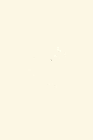 CC1=CC(c2ccccc2OCc2ccccc2)C(C(=O)O)=C(C)N1c1cccnc1